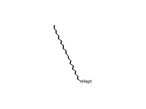 [CH]=CC=CC=CC=CC=CC=CC=CC=CC=CC=CC=CCCCCCCC